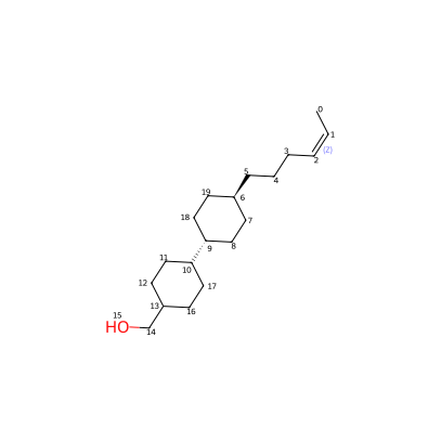 C/C=C\CCC[C@H]1CC[C@H](C2CCC(CO)CC2)CC1